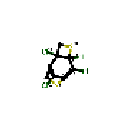 ClC1=C2CSC1=C(Cl)C1(Cl)SCC21Cl